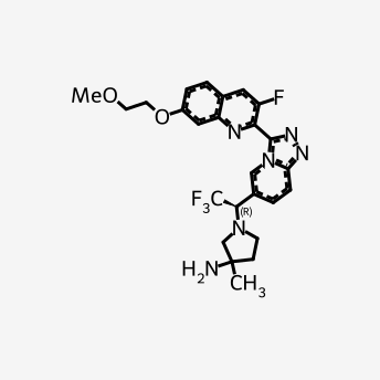 COCCOc1ccc2cc(F)c(-c3nnc4ccc([C@@H](N5CCC(C)(N)C5)C(F)(F)F)cn34)nc2c1